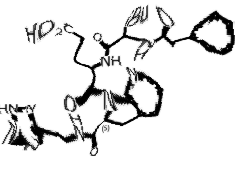 CCC(C)C(NC(=O)Cc1ccccc1)C(=O)NC(CCC(=O)O)C(=O)N1c2ncccc2C[C@H]1C(=O)NCc1nn[nH]n1